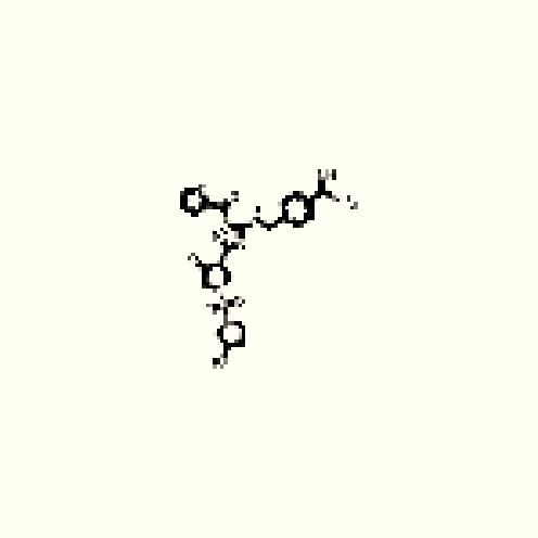 N=C(N)c1ccc(CNc2nc(C3CN(S(=O)(=O)N4CCC(O)C4)CC3=O)nn2C(=O)c2cccs2)cc1